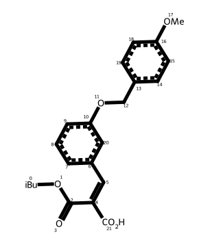 CCC(C)OC(=O)C(=Cc1cccc(OCc2ccc(OC)cc2)c1)C(=O)O